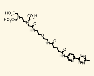 Cc1nnc(-c2ccc(NC(=O)CCCC(=O)NCCOCCNC(=O)CN(CCN(CC(=O)O)CC(=O)O)CC(=O)O)cn2)nn1